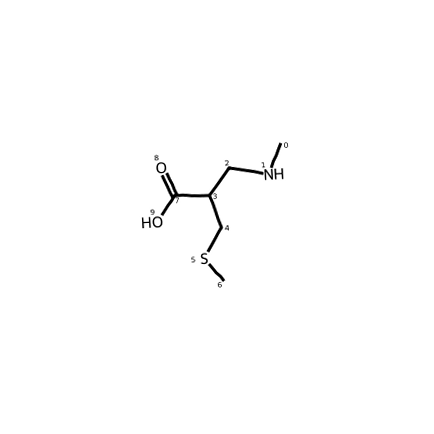 CNCC(CSC)C(=O)O